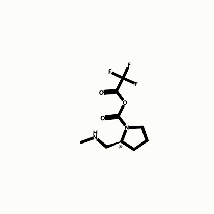 CNC[C@@H]1CCCN1C(=O)OC(=O)C(F)(F)F